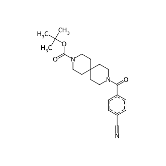 CC(C)(C)OC(=O)N1CCC2(CC1)CCN(C(=O)c1ccc(C#N)cc1)CC2